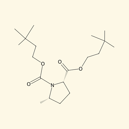 C[C@H]1CC[C@@H](C(=O)OCCC(C)(C)C)N1C(=O)OCCC(C)(C)C